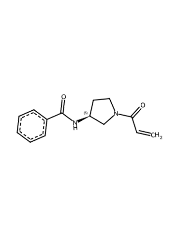 C=CC(=O)N1CC[C@H](NC(=O)c2ccccc2)C1